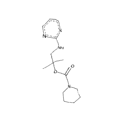 CC(C)(CNc1ncccn1)OC(=O)N1CCCCC1